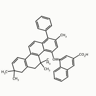 COc1cc(C)c(-c2ccccc2)c2ccc3c(c12)C(C)(C)CC1=C3C=CC(C)(C)C1.O=C(O)c1ccc2ccccc2c1